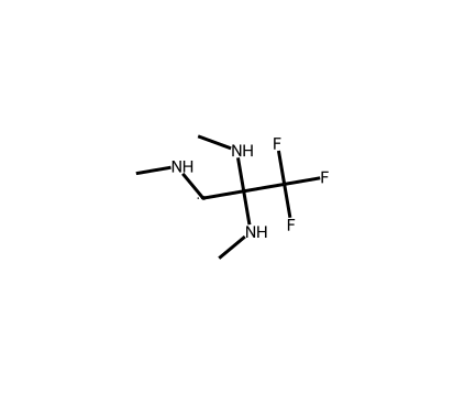 CN[CH]C(NC)(NC)C(F)(F)F